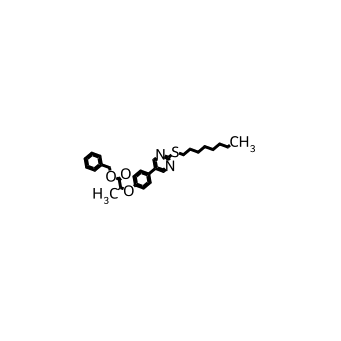 CCCCCCCCSc1ncc(-c2ccc(O[C@H](C)C(=O)OCc3ccccc3)cc2)cn1